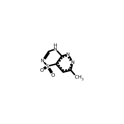 Cc1cc2c(nn1)NC=NS2(=O)=O